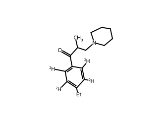 [2H]c1c([2H])c(C(=O)C(C)CN2CCCCC2)c([2H])c([2H])c1CC